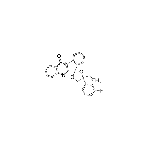 C=CC1(c2cccc(F)c2)COC2(O1)c1ccccc1-n1c2nc2ccccc2c1=O